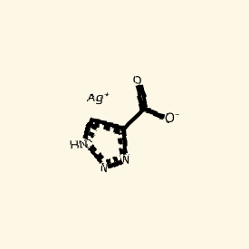 O=C([O-])c1c[nH]nn1.[Ag+]